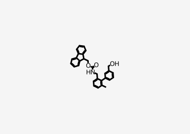 Cc1cccc(CNC(=O)OCC2c3ccccc3-c3ccccc32)c1-c1cccc(CO)c1